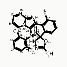 CC1=NNC(N)(c2cccc(F)c2-c2nc3ncccn3c2Nc2c(C)cccc2Cl)O1